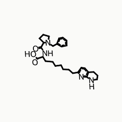 O=C(O)C(CCCCCCCc1ccc2c(n1)NCCC2)NC(=O)C1CCCN1Cc1ccccc1